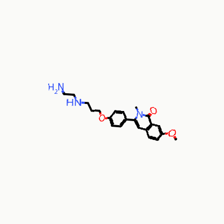 COc1ccc2cc(-c3ccc(OCCCNCCN)cc3)n(C)c(=O)c2c1